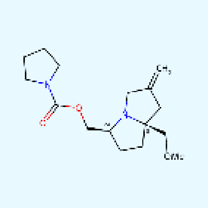 C=C1CN2[C@H](COC(=O)N3CCCC3)CC[C@@]2(COC)C1